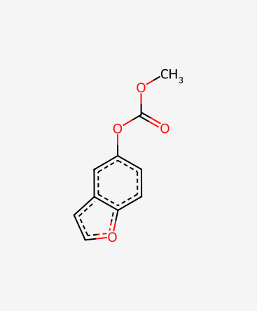 COC(=O)Oc1ccc2occc2c1